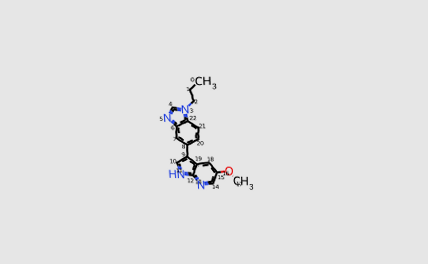 CCCn1cnc2cc(-c3c[nH]c4ncc(OC)cc34)ccc21